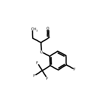 CCC([C]=O)Oc1ccc(F)cc1C(F)(F)F